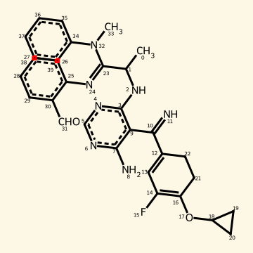 CC(Nc1ncnc(N)c1C(=N)C1=CC(F)=C(OC2CC2)CC1)/C(=N/c1ccccc1C=O)N(C)c1ccccc1